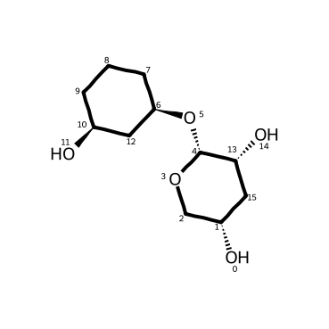 O[C@@H]1CO[C@H](O[C@@H]2CCC[C@H](O)C2)[C@H](O)C1